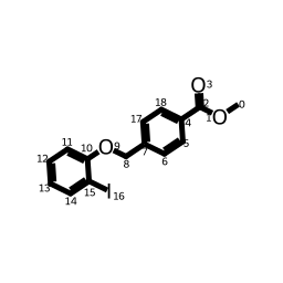 COC(=O)c1ccc(COc2ccccc2I)cc1